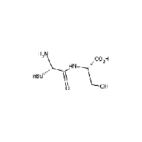 CCCC[C@H](N)C(=O)N[C@@H](CO)C(=O)O